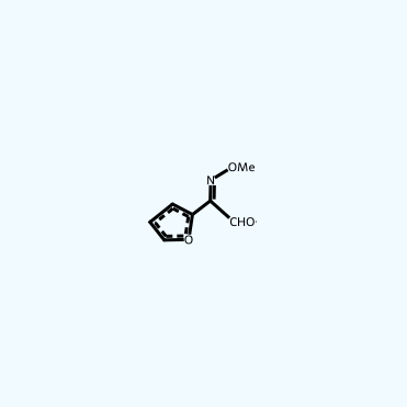 CON=C([C]=O)c1ccco1